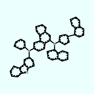 c1ccc(N(c2ccc3oc4ccccc4c3c2)c2ccc3c(N(c4ccc(-c5cccc6ccccc56)cc4)c4cccc5ccccc45)cc4ccccc4c3c2)cc1